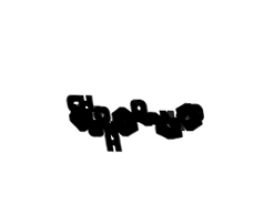 Cn1ccc(OC(=O)Nc2ccc(C(=O)/C=C/c3cccc(N4CCOCC4)n3)cc2)c1